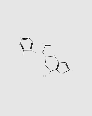 O=C(O)[C@@H](Nc1ccccc1Cl)N1Cc2ccsc2C(O)C1